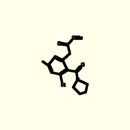 CCc1cc(C)cc(CC(=O)OC)c1C(=O)N1CCCC1